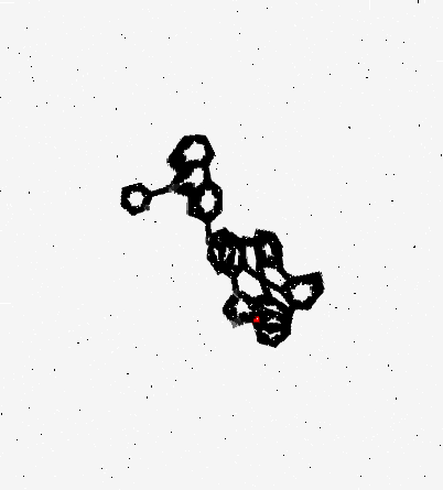 c1ccc(-c2cccc3c2C2(c4ccc(Oc5ccc6c7ccccc7n(-c7ccccn7)c6c5)cc4-n4cnc5cccc2c54)c2c(-c4ccccc4)cccc2-3)cc1